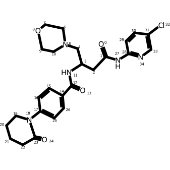 O=C(CC(CN1CCOCC1)NC(=O)c1ccc(N2CCCCC2=O)cc1)Nc1ccc(Cl)cn1